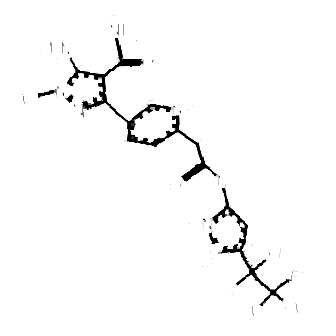 CCn1nc(-c2ccc(CC(=O)Nc3cc(C(C)(C)C(C)(F)F)on3)nc2)c(C(N)=O)c1N